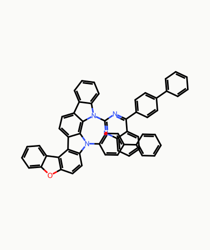 c1ccc(-c2ccc(-c3nc(-n4c5ccccc5c5ccc6c7c8c(ccc7n(-c7ccc(-c9ccccc9)cc7)c6c54)oc4ccccc48)nc4ccccc34)cc2)cc1